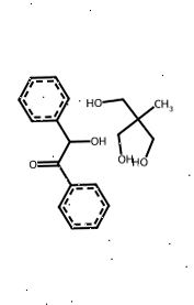 CC(CO)(CO)CO.O=C(c1ccccc1)C(O)c1ccccc1